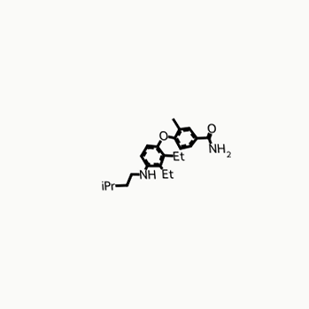 CCc1c(NCCC(C)C)ccc(Oc2ccc(C(N)=O)cc2C)c1CC